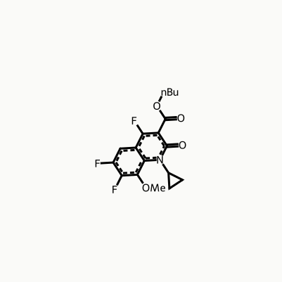 CCCCOC(=O)c1c(F)c2cc(F)c(F)c(OC)c2n(C2CC2)c1=O